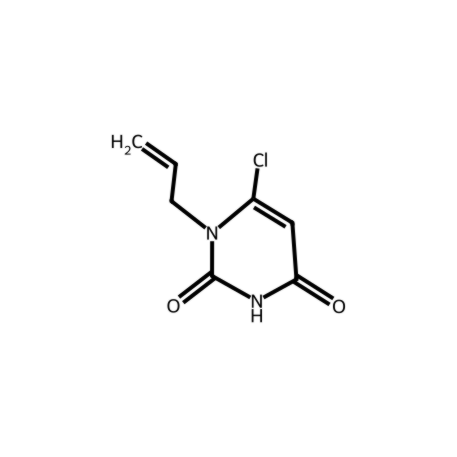 C=CCn1c(Cl)cc(=O)[nH]c1=O